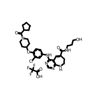 O=C(NCCCO)C1=Cc2c(ncnc2Nc2ccc(OC3CCN(C(=O)C4CCCC4)CC3)c(Cl)c2)NCC1.O=C(O)C(F)(F)F